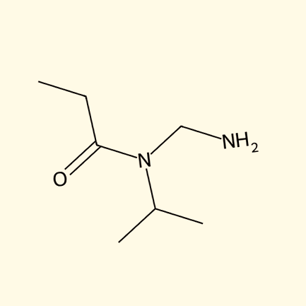 CCC(=O)N(CN)C(C)C